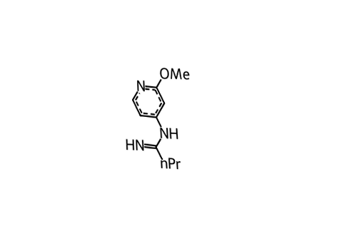 CCCC(=N)Nc1ccnc(OC)c1